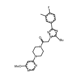 CCC(C)c1nc(-c2ccc(F)c(C)c2)nn1CC(=O)N1CCN(c2cc(OC)ncn2)CC1